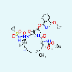 C[C@@H]1CC/C=C\[C@@H]2C[C@@]2(C(=O)NS(=O)(=O)C2CC2)NC(=O)[C@@H]2C[C@@H](Oc3ncc(OC4CC4)c4ccccc34)CN2C(=O)[C@@H](NC(=O)OC(C)(C)C)[C@H](C)C1